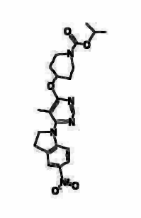 Cc1c(OC2CCN(C(=O)OC(C)C)CC2)ncnc1N1CCc2cc([N+](=O)[O-])ccc21